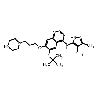 Cc1n[nH]c(Nc2ncnc3cc(OCCCN4CCNCC4)c(SC(C)(C)C)cc23)c1C